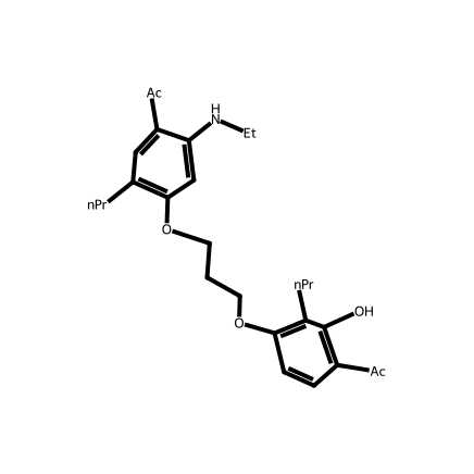 CCCc1cc(C(C)=O)c(NCC)cc1OCCCOc1ccc(C(C)=O)c(O)c1CCC